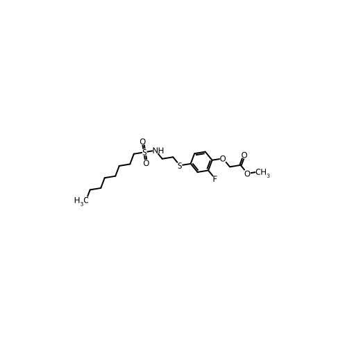 CCCCCCCCS(=O)(=O)NCCSc1ccc(OCC(=O)OC)c(F)c1